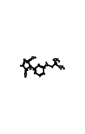 C=C(C)COc1cccc(N2C(=O)C=CC2=O)c1